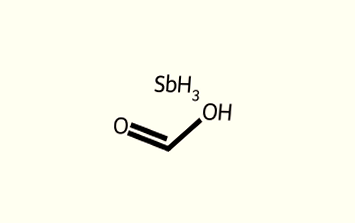 O=CO.[SbH3]